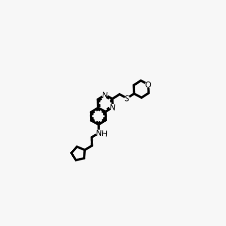 c1cc2cnc(CSC3CCOCC3)nc2cc1NCCC1CCCC1